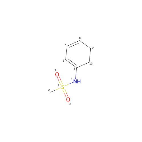 CS(=O)(=O)NC1=CC=CCC1